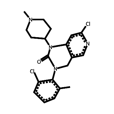 Cc1cccc(Cl)c1N1Cc2cnc(Cl)cc2N(C2CCN(C)CC2)C1=O